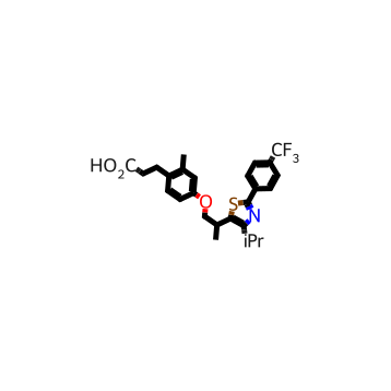 Cc1cc(OCC(C)c2sc(-c3ccc(C(F)(F)F)cc3)nc2C(C)C)ccc1CCC(=O)O